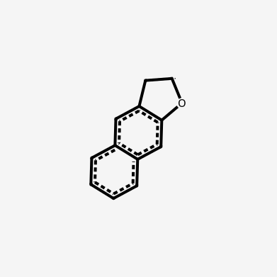 [CH]1Cc2cc3ccccc3cc2O1